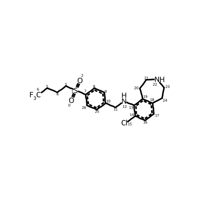 O=S(=O)(CCCC(F)(F)F)c1ccc(CNc2c(Cl)ccc3c2CCNCC3)cc1